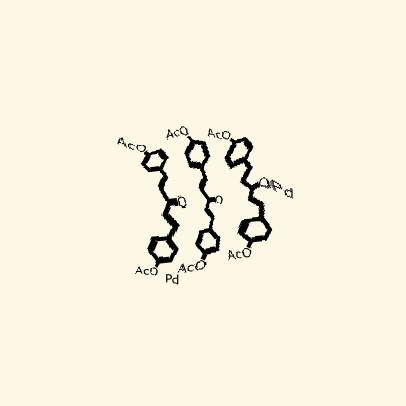 CC(=O)Oc1ccc(C=CC(=O)C=Cc2ccc(OC(C)=O)cc2)cc1.CC(=O)Oc1ccc(C=CC(=O)C=Cc2ccc(OC(C)=O)cc2)cc1.CC(=O)Oc1ccc(C=CC(=O)C=Cc2ccc(OC(C)=O)cc2)cc1.[Pd].[Pd]